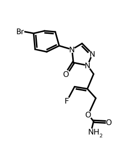 NC(=O)OCC(=CF)Cn1ncn(-c2ccc(Br)cc2)c1=O